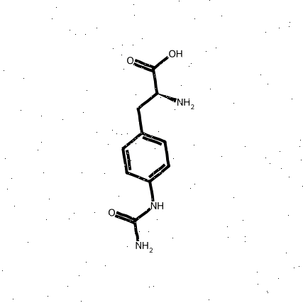 NC(=O)Nc1ccc(C[C@H](N)C(=O)O)cc1